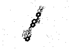 Cc1cccc(C)c1NC(=S)N/N=C/c1ccc2c(c1)CCc1c-2nsc1-c1ccc(OC(F)(F)F)cc1